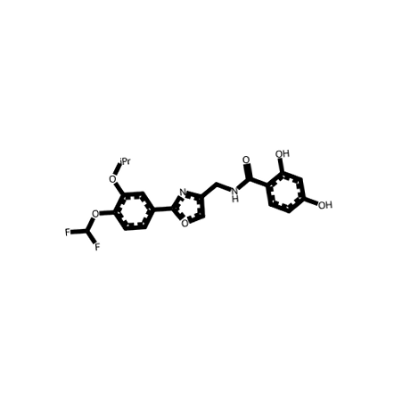 CC(C)Oc1cc(-c2nc(CNC(=O)c3ccc(O)cc3O)co2)ccc1OC(F)F